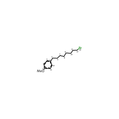 COc1ccc(CCCCCCCCBr)cc1